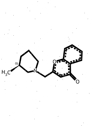 C[C@H]1CCCN(Cc2cc(=O)c3ccccc3o2)C1